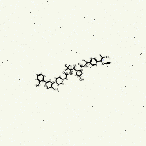 C#CS/C(=C(/C)N)c1ccc([C@H](C)NC(=O)[C@@H]2C[C@@H](O)CN2C(=O)[C@@H](NC(=O)CN2CCN(c3cc(-c4ccccc4OC)nnc3N)CC2)C(C)(C)C)cc1